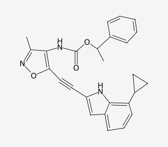 Cc1noc(C#Cc2cc3cccc(C4CC4)c3[nH]2)c1NC(=O)OC(C)c1ccccc1